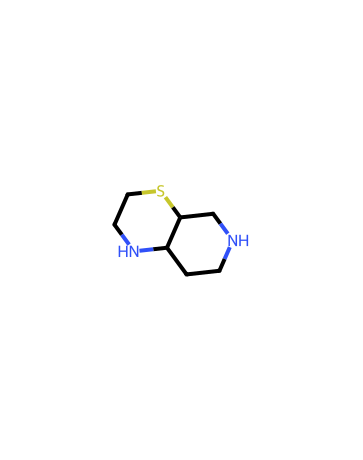 C1CC2NCCSC2CN1